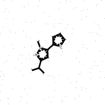 CC(C)c1cc(-c2ccco2)n(C)n1